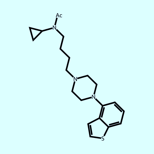 CC(=O)N(CCCCN1CCN(c2cccc3sccc23)CC1)C1CC1